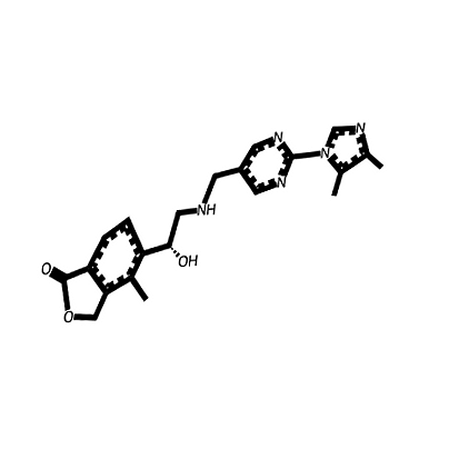 Cc1ncn(-c2ncc(CNC[C@H](O)c3ccc4c(c3C)COC4=O)cn2)c1C